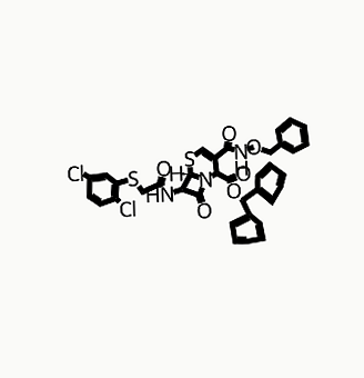 O=C(CSc1cc(Cl)ccc1Cl)NC1C(=O)N2C(C(=O)OC(c3ccccc3)c3ccccc3)C(C(=O)NOCc3ccccc3)=CS[C@H]12